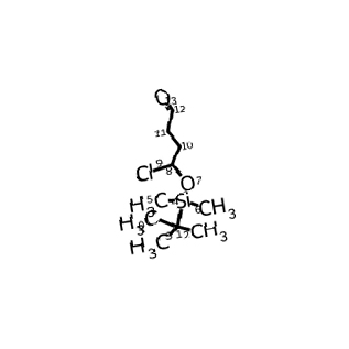 CC(C)(C)[Si](C)(C)OC(Cl)CCC=O